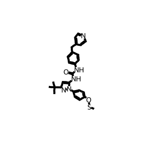 CSOc1ccc(-n2nc(C(C)(C)C)cc2NC(=O)Nc2ccc(Cc3ccncc3)cc2)cc1